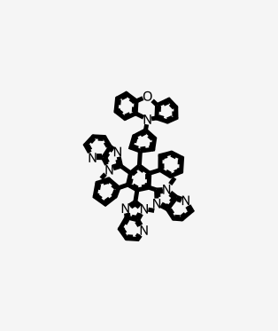 Cn1c(-c2c(-c3ccc(N4c5ccccc5Oc5ccccc54)cc3)c(-c3ccccc3)c(-c3nc4cccnc4n3C)c(-c3nc4cccnc4n3C)c2-c2ccccc2)nc2cccnc21